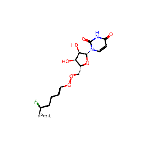 CCCCCC(F)CCCCOOC[C@H]1O[C@@H](n2ccc(=O)[nH]c2=O)[C@H](O)[C@@H]1O